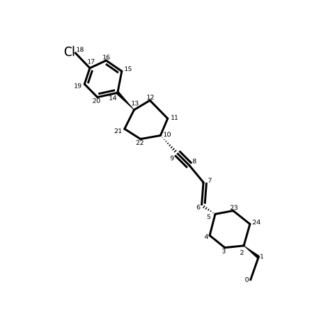 CC[C@H]1CC[C@H](C=CC#C[C@H]2CC[C@H](c3ccc(Cl)cc3)CC2)CC1